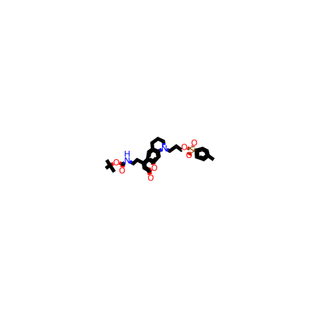 Cc1ccc(S(=O)(=O)OCCCN2CCCc3cc4c(CCNC(=O)OC(C)(C)C)cc(=O)oc4cc32)cc1